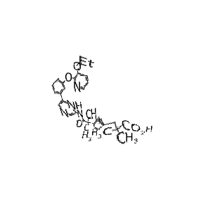 CCOc1cccnc1Oc1cccc(-c2cncc(NC(=O)C(C)(C)c3ccc(CC(C)(C)C(=O)O)cc3)n2)c1